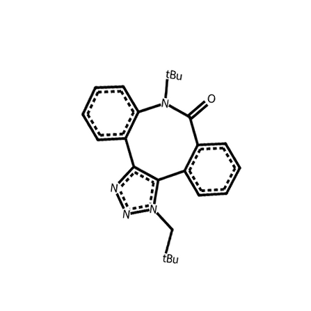 CC(C)(C)Cn1nnc2c1-c1ccccc1C(=O)N(C(C)(C)C)c1ccccc1-2